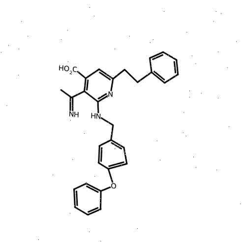 CC(=N)c1c(C(=O)O)cc(CCc2ccccc2)nc1NCc1ccc(Oc2ccccc2)cc1